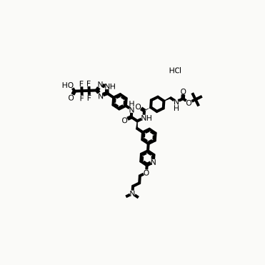 CN(C)CCCOc1ccc(-c2cccc(C[C@H](NC(=O)[C@H]3CC[C@H](CNC(=O)OC(C)(C)C)CC3)C(=O)Nc3ccc(-c4nc(C(F)(F)C(F)(F)C(=O)O)n[nH]4)cc3)c2)cn1.Cl